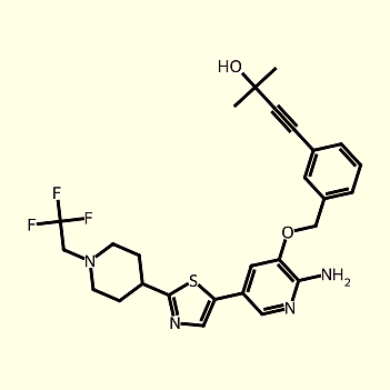 CC(C)(O)C#Cc1cccc(COc2cc(-c3cnc(C4CCN(CC(F)(F)F)CC4)s3)cnc2N)c1